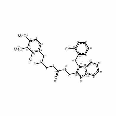 COc1ccc(CC(C)CCC(=O)[N]Cc2nc3ccccc3n2Cc2ccccc2Cl)c(Cl)c1OC